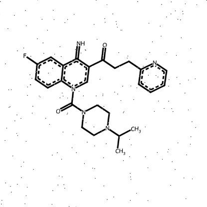 CC(C)N1CCN(C(=O)n2cc(C(=O)CCc3ccccn3)c(=N)c3cc(F)ccc32)CC1